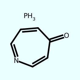 O=c1cccncc1.P